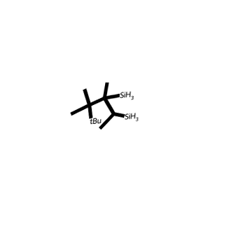 CC([SiH3])C(C)([SiH3])C(C)(C)C(C)(C)C